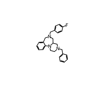 Fc1ccc(CN2Cc3ccccc3N3CCN(Cc4ccccc4)CC3C2)cc1